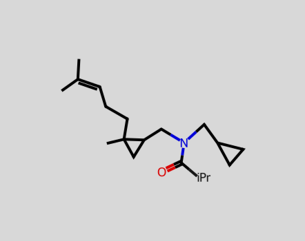 CC(C)=CCCC1(C)CC1CN(CC1CC1)C(=O)C(C)C